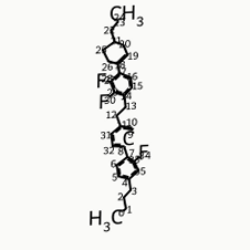 CCCCc1ccc(-c2ccc(CCc3ccc(C4=CCC(CCC)CC4)c(F)c3F)cc2)c(F)c1